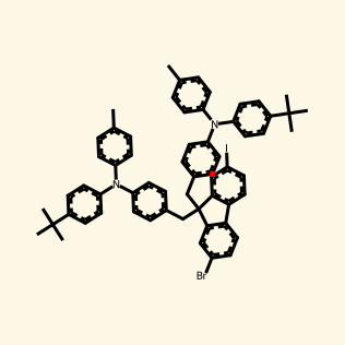 Cc1ccc(N(c2ccc(CC3(Cc4ccc(N(c5ccc(C)cc5)c5ccc(C(C)(C)C)cc5)cc4)c4cc(Br)ccc4-c4ccc(I)cc43)cc2)c2ccc(C(C)(C)C)cc2)cc1